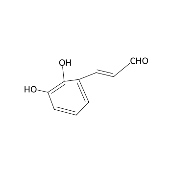 O=C/C=C/c1cccc(O)c1O